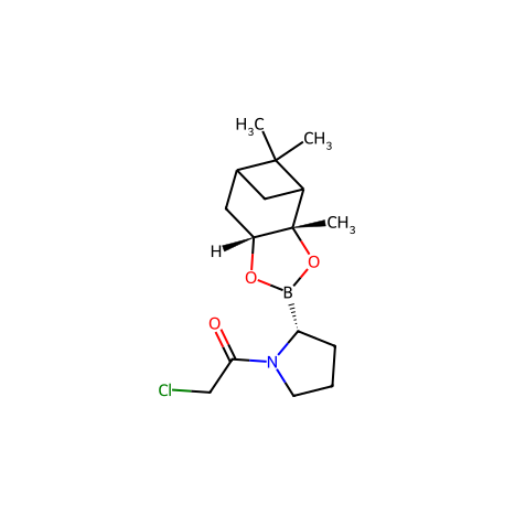 CC1(C)C2CC1[C@]1(C)OB([C@@H]3CCCN3C(=O)CCl)O[C@@H]1C2